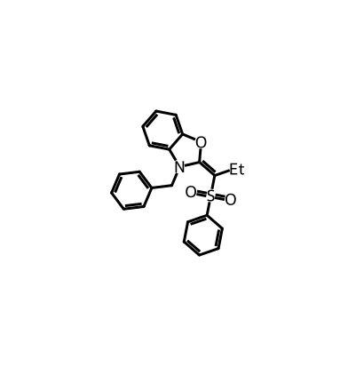 CC/C(=C1\Oc2ccccc2N1Cc1ccccc1)S(=O)(=O)c1ccccc1